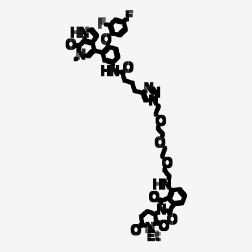 CCN1C(=O)CCC(N2C(=O)c3cccc(NCCOCCOCCOCCn4cc(CCCC(=O)Nc5ccc(Oc6ccc(F)cc6F)c(-c6cn(C)c(=O)c7[nH]ccc67)c5)nn4)c3C2=O)C1=O